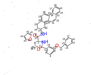 CC(C)CC(NC(=O)c1cccc(OCc2ccccc2)c1)C(=O)NC1CCc2ccc3c(ccc4ccccc43)c2C1.c1ccoc1